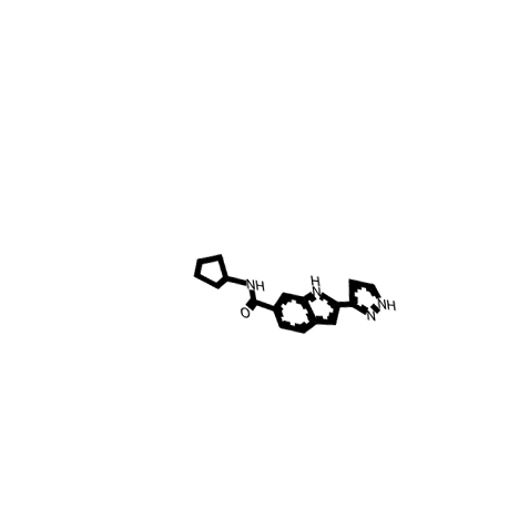 O=C(NC1CCCC1)c1ccc2cc(-c3cc[nH]n3)[nH]c2c1